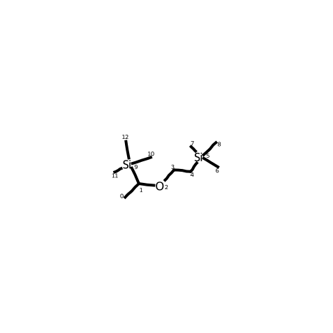 CC(OCC[Si](C)(C)C)[Si](C)(C)C